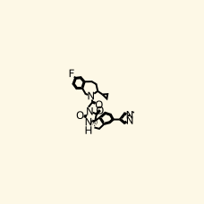 Cn1cc(-c2ccc3c(c2)CC[C@@]32NC(=O)N(CC(=O)N3Cc4ccc(F)cc4CCC3C3CC3)C2=O)cn1